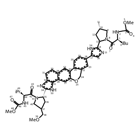 CCC(C)[C@H](NC(=O)OC)C(=O)N1C[C@@H](C)CC1c1ncc(-c2ccc3c(c2)COc2cc4c(ccc5nc([C@@H]6CC(COC)CN6C(=O)[C@@H](NC(=O)OC)C(C)C)[nH]c54)cc2-3)[nH]1